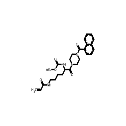 C=CC(=O)NCCCCC(NC(=O)OCCCC)C(=O)N1CCN(C(=O)c2cccc3ccccc23)CC1